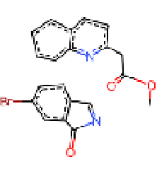 COC(=O)Cc1ccc2ccccc2n1.O=C1N=Cc2ccc(Br)cc21